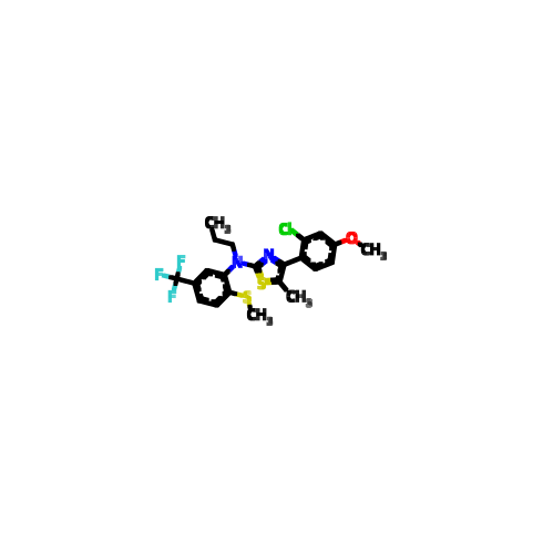 CCCN(c1nc(-c2ccc(OC)cc2Cl)c(C)s1)c1cc(C(F)(F)F)ccc1SC